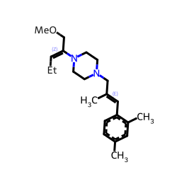 CC/C=C(/COC)N1CCN(C/C(C)=C/c2ccc(C)cc2C)CC1